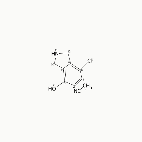 CC#N.Oc1ccc(Cl)c2c1CNC2